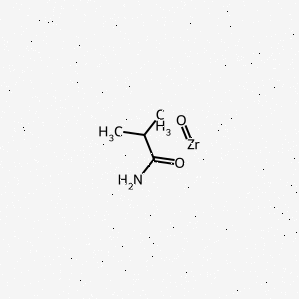 CC(C)C(N)=O.[O]=[Zr]